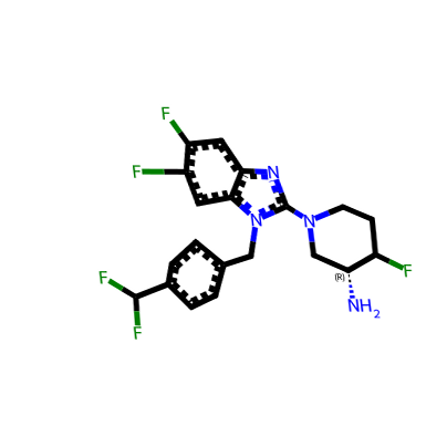 N[C@@H]1CN(c2nc3cc(F)c(F)cc3n2Cc2ccc(C(F)F)cc2)CCC1F